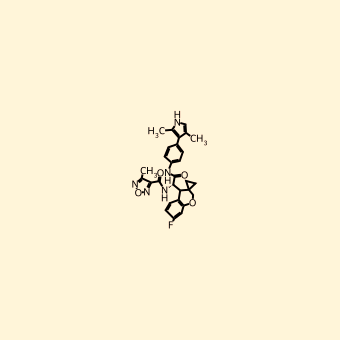 Cc1c[nH]c(C)c1-c1ccc(NC(=O)[C@@H](NC(=O)c2nonc2C)C2c3ccc(F)cc3OCC23CC3)cc1